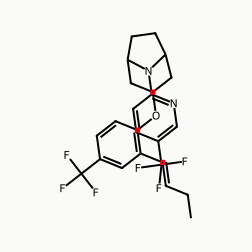 CCC=Cc1cc(C(F)(F)F)ccc1OC1CC2CCC(C1)N2c1ccc(C(F)(F)F)cn1